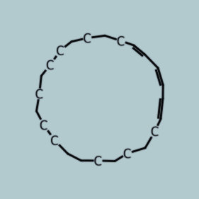 C1=CC=CCCCCCCCCCCCCCCCCCCC=C1